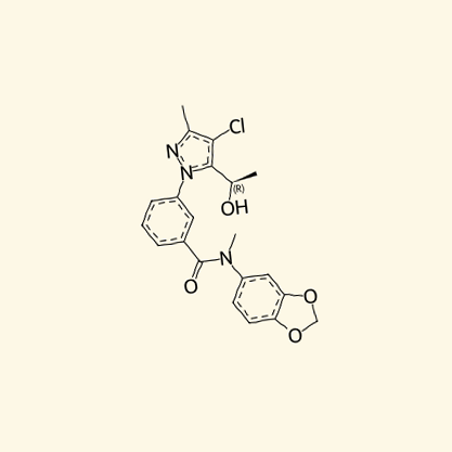 Cc1nn(-c2cccc(C(=O)N(C)c3ccc4c(c3)OCO4)c2)c([C@@H](C)O)c1Cl